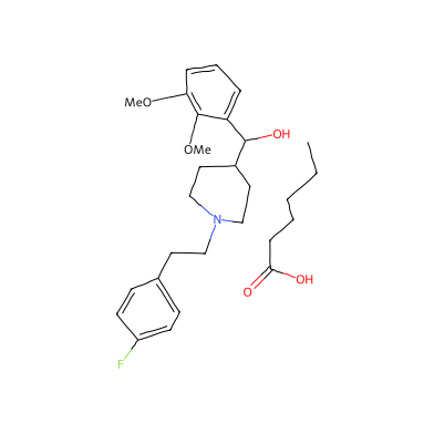 CCCCCC(=O)O.COc1cccc(C(O)C2CCN(CCc3ccc(F)cc3)CC2)c1OC